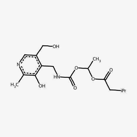 Cc1ncc(CO)c(CNC(=O)OC(C)OC(=O)CC(C)C)c1O